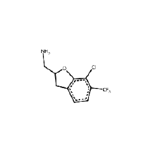 NCC1Cc2ccc(C(F)(F)F)c(Cl)c2O1